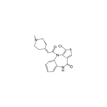 CN1CCC(=CC(=O)N2c3ccccc3NC(=O)c3csc(Cl)c32)CC1